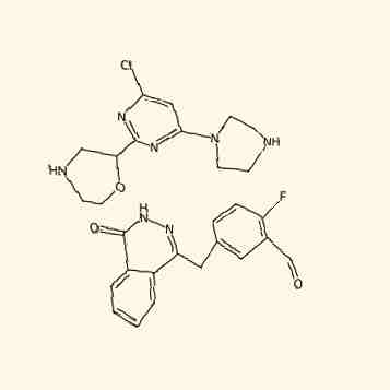 Clc1cc(N2CCNCC2)nc(C2CNCCO2)n1.O=Cc1cc(Cc2n[nH]c(=O)c3ccccc23)ccc1F